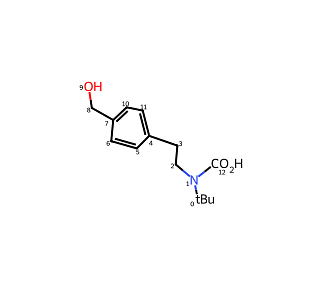 CC(C)(C)N(CCc1ccc(CO)cc1)C(=O)O